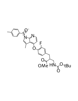 COC(=O)C(CNC(=O)OC(C)(C)C)Cc1ccc(Oc2ccnc3c2c(C)cn3[S+]([O-])c2ccc(C)cc2)c(F)c1